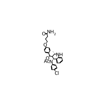 CC(=O)N(c1ccc(Cl)cc1)[C@H]1c2ccccc2N[C@@H](C)C1C(=O)c1ccc(OCCCC(N)=O)cc1